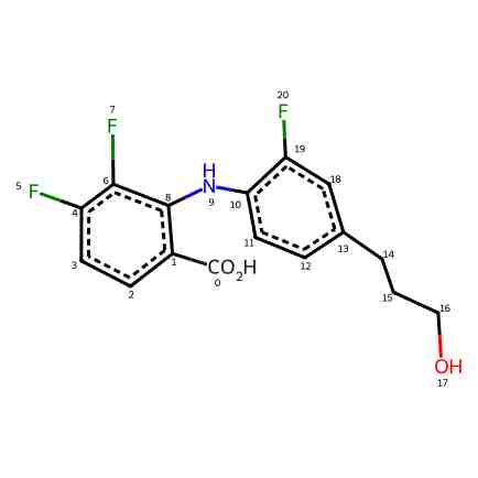 O=C(O)c1ccc(F)c(F)c1Nc1ccc(CCCO)cc1F